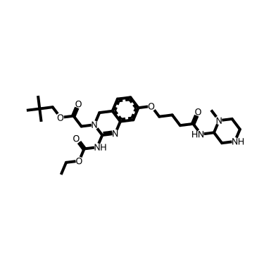 CCOC(=O)NC1=Nc2cc(OCCCC(=O)NC3CNCCN3C)ccc2CN1CC(=O)OCC(C)(C)C